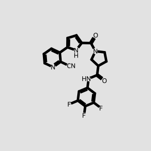 N#Cc1ncccc1-c1ccc(C(=O)N2CCC(C(=O)Nc3cc(F)c(F)c(F)c3)C2)[nH]1